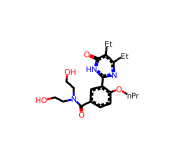 CCCOc1ccc(C(=O)N(CCO)CCO)cc1-c1nc(CC)c(CC)c(=O)[nH]1